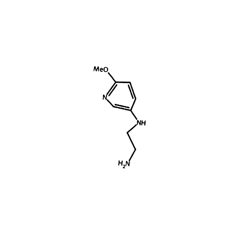 COc1ccc(NCCN)cn1